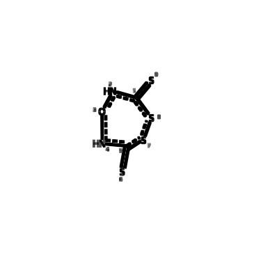 S=c1[nH]o[nH]c(=S)ss1